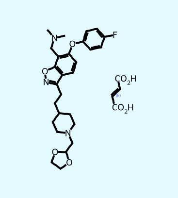 CN(C)Cc1c(Oc2ccc(F)cc2)ccc2c(CCC3CCN(CC4OCCO4)CC3)noc12.O=C(O)/C=C/C(=O)O